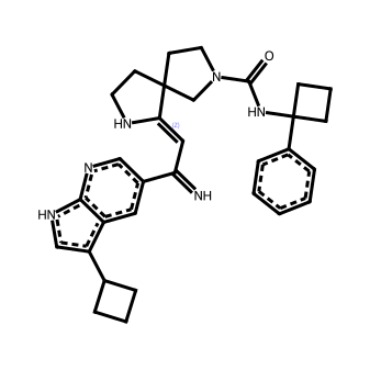 N=C(/C=C1\NCCC12CCN(C(=O)NC1(c3ccccc3)CCC1)C2)c1cnc2[nH]cc(C3CCC3)c2c1